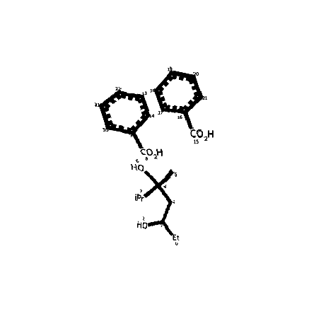 CCC(O)CC(C)(O)C(C)C.O=C(O)c1ccccc1.O=C(O)c1ccccc1